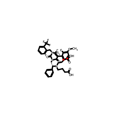 COc1cccc(-c2c(C)n(Cc3c(F)cccc3C(F)(F)F)c(=O)n(C[C@@H](c3ccccc3)N(CCCC(=O)O)CCCC(=O)O)c2=O)c1F